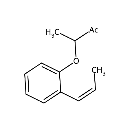 C/C=C\c1ccccc1OC(C)C(C)=O